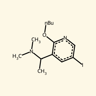 CCCCOc1ncc(I)cc1[C](C)N(C)C